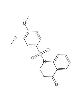 COc1ccc(S(=O)(=O)N2CCC(=O)c3ccccc32)cc1OC